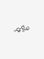 Clc1ccc(-c2cnc([C@@H]3CCCN3)[nH]2)nn1